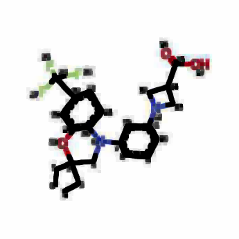 CCC1(CC)CN(c2cccc(N3CC(C(=O)O)C3)c2)c2ccc(C(F)(F)F)cc2O1